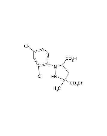 CCOC(=O)C1(C)CC(C(=O)O)N(c2ccc(Cl)cc2Cl)N1